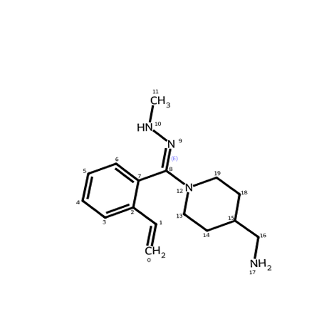 C=Cc1ccccc1/C(=N\NC)N1CCC(CN)CC1